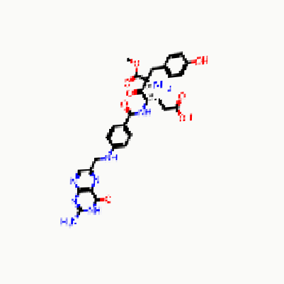 COC(=O)[C@@](N)(Cc1ccc(O)cc1)C(=O)[C@H](CCC(=O)O)NC(=O)c1ccc(NCc2cnc3nc(N)[nH]c(=O)c3n2)cc1